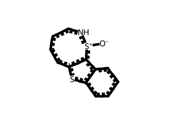 [O-][s+]1[nH]ccccc2sc3ccccc3c21